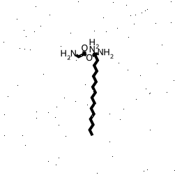 CCCCCCCCCCCCCCCC(N)(N)OC(=O)CN